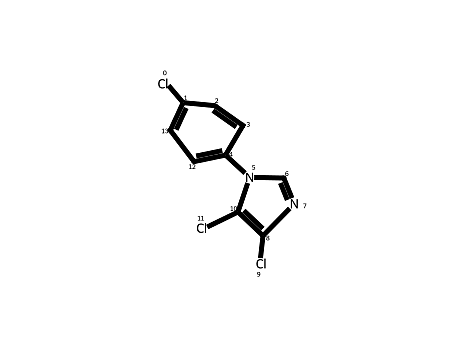 Clc1c[c]c(-n2cnc(Cl)c2Cl)cc1